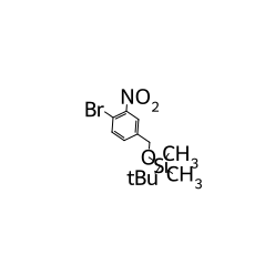 CC(C)(C)[Si](C)(C)OCc1ccc(Br)c([N+](=O)[O-])c1